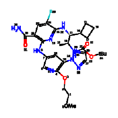 COCCOc1ncc(Nc2nc(N[C@H](C3CCC3)[C@H](C)NC(=O)OC(C)(C)C)c(F)cc2C(N)=O)cc1-n1nccn1